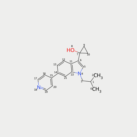 CC(C)Cn1cc(C2(O)CC2)c2ccc(-c3ccncc3)cc21